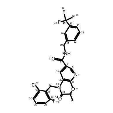 CC1Oc2ncc(C(=O)NCc3cccc(C(F)(F)F)c3)cc2N(Cc2c(F)cccc2Cl)C1=O